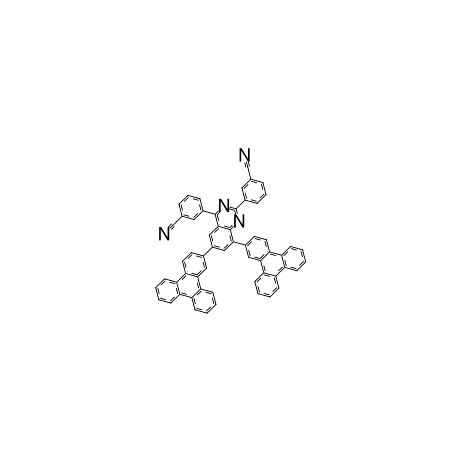 N#Cc1cccc(-c2nc(-c3cccc(C#N)c3)c3cc(-c4ccc5c6ccccc6c6ccccc6c5c4)cc(-c4ccc5c6ccccc6c6ccccc6c5c4)c3n2)c1